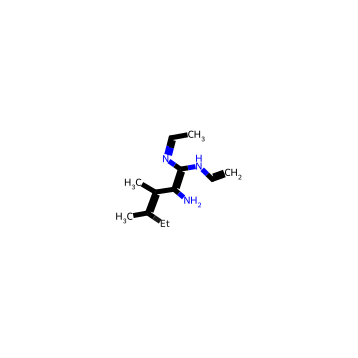 C=CNC(/N=C\C)=C(N)/C(C)=C(/C)CC